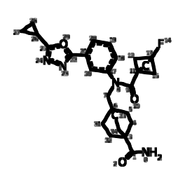 NC(=O)C12CCC(CN(C(=O)C34CC(F)(C3)C4)c3cccc(-c4nnc(C5CC5)o4)c3)(CC1)CC2